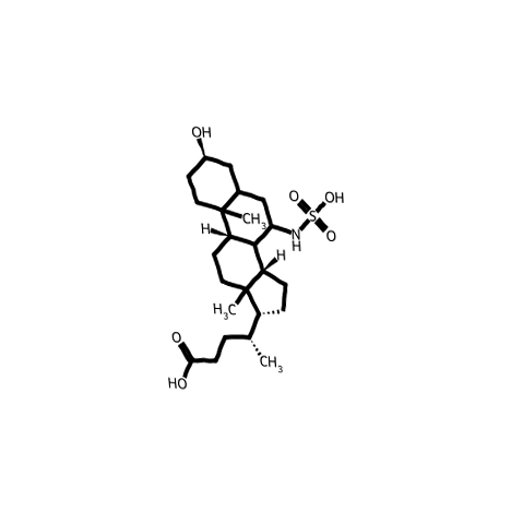 C[C@H](CCC(=O)O)[C@H]1CC[C@H]2C3C(NS(=O)(=O)O)CC4C[C@H](O)CCC4(C)[C@H]3CCC12C